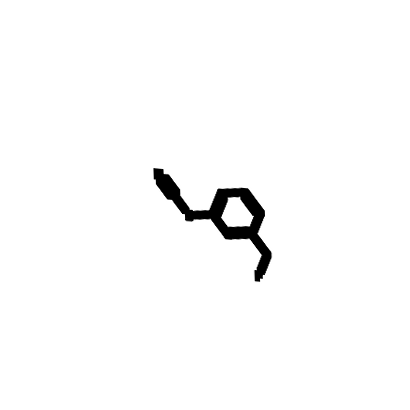 N#CSc1cccc(CF)c1